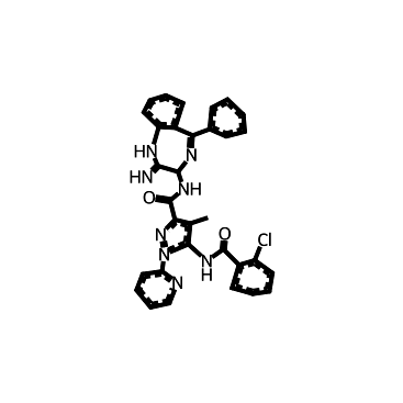 Cc1c(C(=O)NC2N=C(c3ccccc3)c3ccccc3NC2=N)nn(-c2ccccn2)c1NC(=O)c1ccccc1Cl